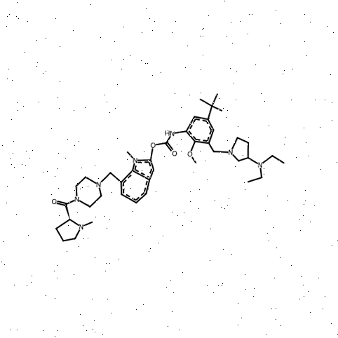 CCN(CC)C1CCN(Cc2cc(C(C)(C)C)cc(NC(=O)Oc3cc4cccc(CN5CCN(C(=O)[C@@H]6CCCN6C)CC5)c4n3C)c2OC)C1